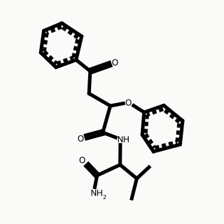 CC(C)C(NC(=O)C(CC(=O)c1ccccc1)Oc1ccccc1)C(N)=O